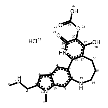 CNCc1cc2cc3c(cc2n1C)NCCCc1c-3[nH]c(=O)c(OC(=O)O)c1O.Cl